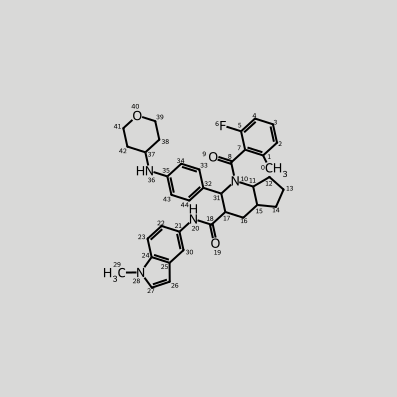 Cc1cccc(F)c1C(=O)N1C2CCCC2CC(C(=O)Nc2ccc3c(ccn3C)c2)C1c1ccc(NC2CCOCC2)cc1